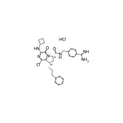 Cl.N=C(N)c1ccc(CNC(=O)[C@@H]2C[C@H](CCCc3ccccc3)c3c(Cl)nc(NC4CCC4)c(=O)n32)cc1